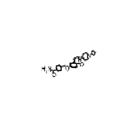 NC(=O)c1ccc(COc2ccc3c(c2)CCN(C2CCN(C4CCC4)CC2)C3=O)cc1